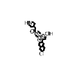 C=CC(c1ccc2cc(Cl)ccc2c1)S(=O)(=O)N1CCN(C(=O)CC2CCNCC2)CC1.Cl